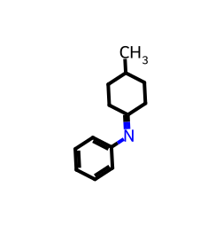 CC1CCC(=Nc2ccccc2)CC1